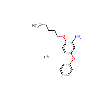 Br.Nc1cc(Oc2ccccc2)ccc1OCCCCC(=O)O